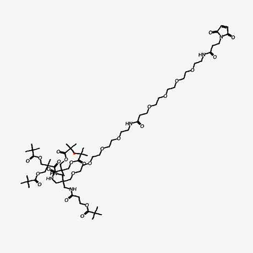 CC(C)(C)C(=O)OCCC(=O)NCC(CNC(=O)C(C)(COC(=O)C(C)(C)C)COC(=O)C(C)(C)C)(CNC(=O)C(C)(COC(=O)C(C)(C)C)COC(=O)C(C)(C)C)COCCOCCOCCOCCNC(=O)CCOCCOCCOCCOCCNC(=O)CCN1C(=O)C=CC1=O